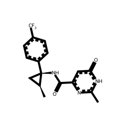 Cc1nc(C(=O)N[C@]2(c3ccc(C(F)(F)F)cc3)C[C@@H]2C)cc(=O)[nH]1